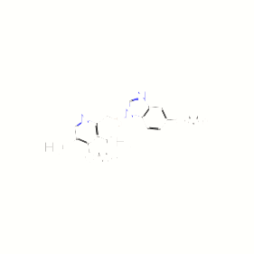 COc1ccc2c(c1)ncn2SCc1ncc(C)c(OC)c1C